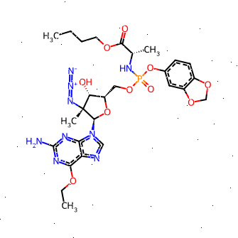 CCCCOC(=O)[C@H](C)NP(=O)(OC[C@H]1O[C@@H](n2cnc3c(OCC)nc(N)nc32)[C@](C)(N=[N+]=[N-])[C@@H]1O)Oc1ccc2c(c1)OCO2